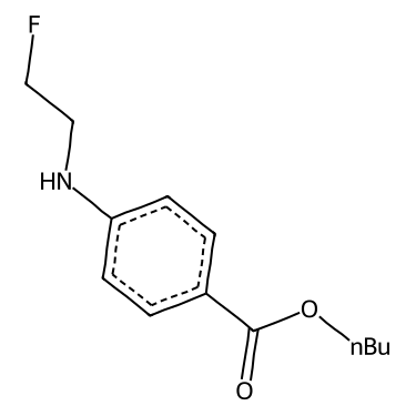 CCCCOC(=O)c1ccc(NCCF)cc1